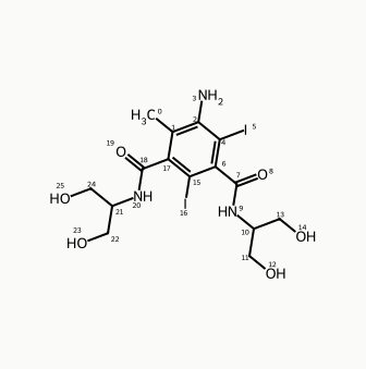 Cc1c(N)c(I)c(C(=O)NC(CO)CO)c(I)c1C(=O)NC(CO)CO